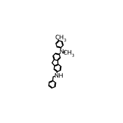 Cc1ccc(N(C)c2ccc3c(c2)-c2ccc(NCc4ccccc4)cc2C3)cc1